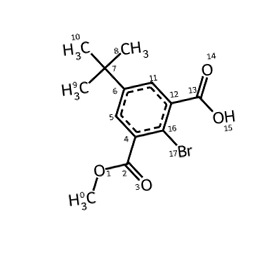 COC(=O)c1cc(C(C)(C)C)cc(C(=O)O)c1Br